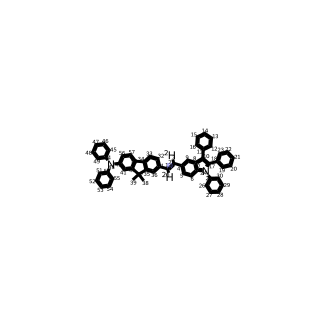 [2H]/C(=C(/[2H])c1ccc2c(c1)c(-c1ccccc1)c(-c1ccccc1)n2-c1ccccc1)c1ccc2c(c1)C(C)(C)c1cc(N(c3ccccc3)c3ccccc3)ccc1-2